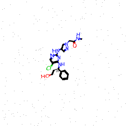 CNC(=O)Cn1cc(Nc2ncc(Cl)c(N[C@H](CCO)c3ccccc3)n2)cn1